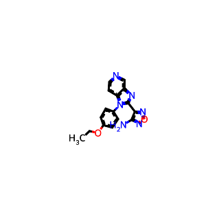 CCOc1ccc(-n2c(-c3nonc3N)nc3cnccc32)cc1